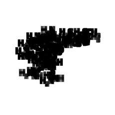 CSC[C@H](NC(=O)CNC(=O)[C@H](CC(C)C)NC(=O)[C@@H]1CCCN1C(=O)C(C)(C)C)C(=O)N[C@@H](C)C(=O)NCC(=O)N[C@H](CCCNC(=N)N)C(=O)N[C@H](CCCNC(=N)N)C(=O)NC(CCCNC(=N)N)C(=O)N[C@H](CCCNC(=N)N)C(=O)N[C@H](CCCNC(=N)N)C(=O)N[C@H](CCCCN)C(N)=O